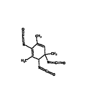 CC1=CC(C)(N=C=O)C(N=C=O)C(C)=C1N=C=O